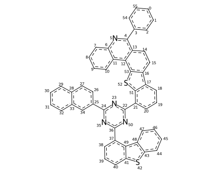 c1ccc(-c2nc3ccccc3c3c2ccc2c4cccc(-c5nc(-c6ccc7ccccc7c6)nc(-c6cccc7sc8ccccc8c67)n5)c4sc23)cc1